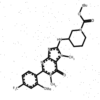 COc1cc(C(F)(F)F)ccc1-c1nc2nc(NC3CCCN(C(=O)OC(C)(C)C)C3)n(C)c2c(=O)n1C